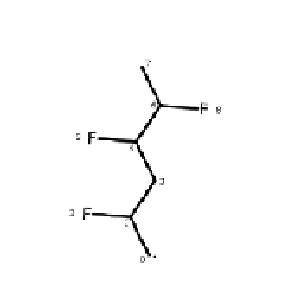 [CH2]C(F)CC(F)C(C)F